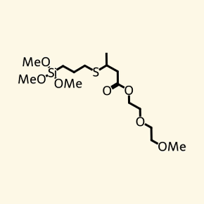 COCCOCCOC(=O)CC(C)SCCC[Si](OC)(OC)OC